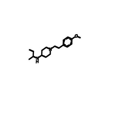 CCC(C)NC1CCN(CCc2ccc(OC)cc2)CC1